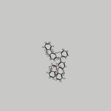 c1ccc(N(c2ccc3c(c2)[Si]2(c4ccccc4Oc4ccccc42)c2ccccc2S3)c2ccc3sc4ccccc4c3c2)cc1